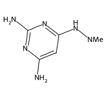 CNNc1cc(N)nc(N)n1